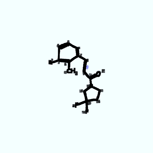 Cc1c(Br)cccc1/C=C/C(=O)N1CCC(F)(F)C1